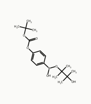 CC(C)(C)OC(=O)Oc1ccc(B(O)OC(C)(C)C(C)(C)O)cc1